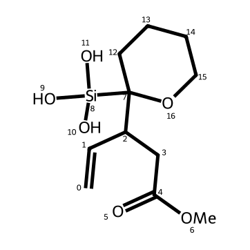 C=CC(CC(=O)OC)C1([Si](O)(O)O)CCCCO1